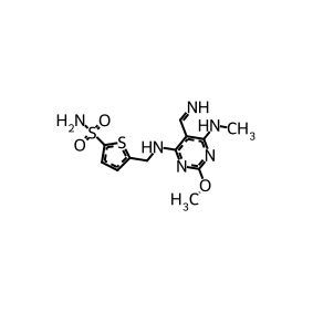 CNc1nc(OC)nc(NCc2ccc(S(N)(=O)=O)s2)c1C=N